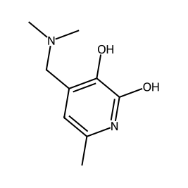 Cc1cc(CN(C)C)c(O)c(O)n1